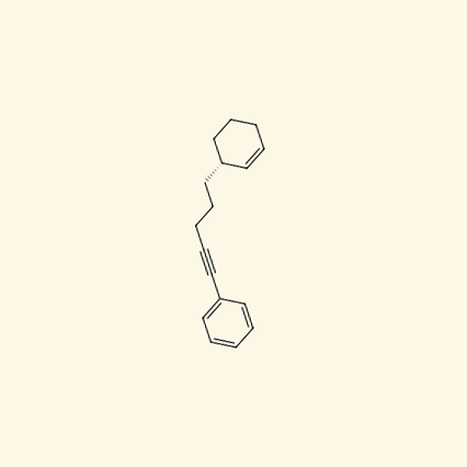 C(#Cc1ccccc1)CCC[C@H]1C=CCCC1